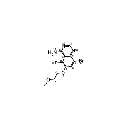 COCCOc1cc(Br)c2ncnc(N)c2c1F